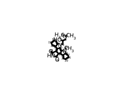 CN(C)CC(O)Cn1c2ccccc2c2c3c(c4c5ccccc5n(C)c4c21)C(=O)NC3=O